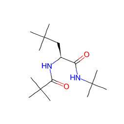 CC(C)(C)C[C@H](NC(=O)C(C)(C)C)C(=O)NC(C)(C)C